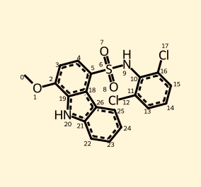 COc1ccc(S(=O)(=O)Nc2c(Cl)cccc2Cl)c2c1[nH]c1ccccc12